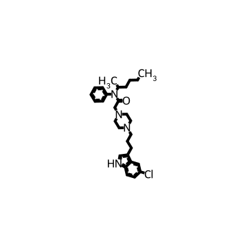 CCCCC(C)N(C(=O)CN1CCN(CCCc2c[nH]c3ccc(Cl)cc23)CC1)c1ccccc1